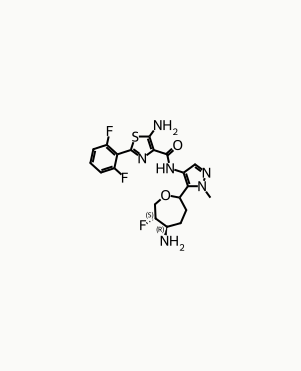 Cn1ncc(NC(=O)c2nc(-c3c(F)cccc3F)sc2N)c1C1CC[C@@H](N)[C@H](F)CO1